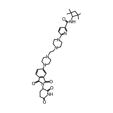 CC1(C)CC(C)(C)C1NC(=O)c1ccc(N2CCN(CCN3CCN(c4ccc5c(c4)C(=O)N(C4CCC(=O)NC4=O)C5=O)CC3)CC2)nc1